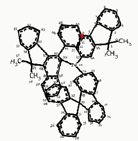 CC1(C)c2ccccc2-c2ccc(N(c3ccc4c(c3)C3(c5ccccc5-c5ccccc53)c3ccccc3-4)c3c(-c4ccccc4)c4c(c5ccccc35)C(C)(C)c3ccccc3-4)cc21